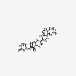 CC(=O)N(CC(F)F)c1ccc(-c2ccc(C(=O)NCc3cncc(F)c3)cn2)cc1Cl